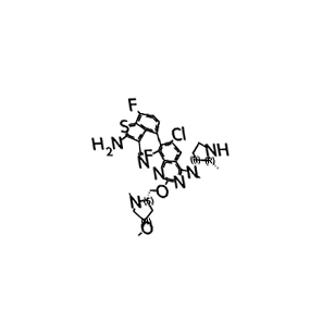 CO[C@@H]1C[C@@H](COc2nc(N(C)[C@@H]3CCN[C@@H]3C)c3cc(Cl)c(-c4ccc(F)c5sc(N)c(C#N)c45)c(F)c3n2)N(C)C1